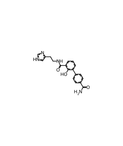 NC(=O)c1ccc(-c2cccc(C(=O)NCCc3c[nH]cn3)c2O)cc1